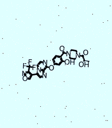 C[C@@H](O)C(=O)N1CCN(C(=O)c2ccc(Oc3nccn4c(-c5conc5C(F)(F)F)cnc34)cc2O)CC1